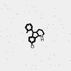 Cc1ccccc1C1c2ccc(Cl)cc2C2NCCCC21